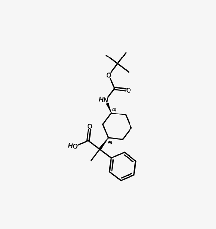 CC(C)(C)OC(=O)N[C@H]1CCC[C@@H](C(C)(C(=O)O)c2ccccc2)C1